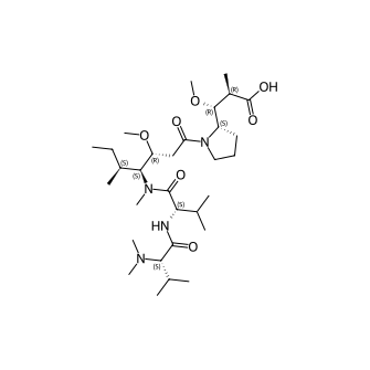 CC[C@H](C)[C@@H]([C@@H](CC(=O)N1CCC[C@H]1[C@H](OC)[C@@H](C)C(=O)O)OC)N(C)C(=O)[C@@H](NC(=O)[C@H](C(C)C)N(C)C)C(C)C